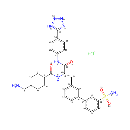 Cl.NCC1CCC(C(=O)N[C@@H](Cc2cccc(-c3cccc(S(N)(=O)=O)c3)c2)C(=O)Nc2ccc(-c3nnn[nH]3)cc2)CC1